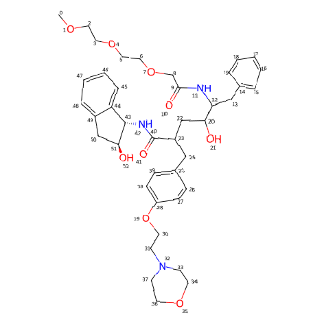 COCCOCCOCC(=O)NC(Cc1ccccc1)C(O)CC(Cc1ccc(OCCN2CCOCC2)cc1)C(=O)N[C@H]1c2ccccc2C[C@@H]1O